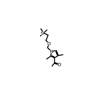 CC(=O)c1c(C)cn(COCC[Si](C)(C)C)c1C